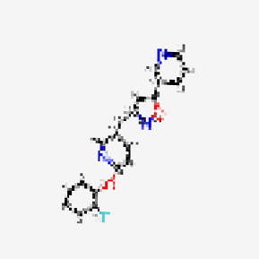 Fc1ccccc1Oc1ccc(Cc2cc(-c3cccnc3)on2)cn1